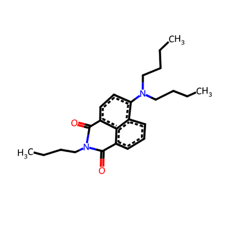 CCCCN1C(=O)c2cccc3c(N(CCCC)CCCC)ccc(c23)C1=O